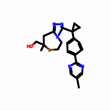 Cc1cnc(-c2ccc(C3(c4nnc5n4CCSC(C)(CO)C5)CC3)cc2)nc1